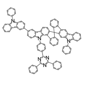 c1ccc(-c2nc(-c3ccccc3)nc(-c3ccc(-n4c5ccc(-c6ccc7c(c6)c6ccccc6n7-c6ccccc6)cc5c5ccc6c(c54)-c4ccccc4C64c5ccccc5-c5cc6c7ccccc7n(-c7ccccc7)c6cc54)cc3)n2)cc1